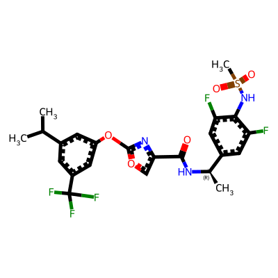 CC(C)c1cc(Oc2nc(C(=O)N[C@H](C)c3cc(F)c(NS(C)(=O)=O)c(F)c3)co2)cc(C(F)(F)F)c1